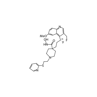 COc1ccc2ncc(CF)c([C@H](F)CCC3(C(=O)NO)CCN(CCSc4ccccn4)CC3)c2c1